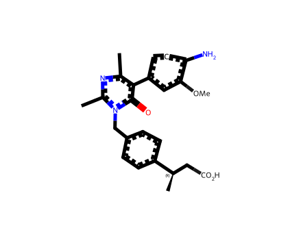 COc1cc(-c2c(C)nc(C)n(Cc3ccc([C@H](C)CC(=O)O)cc3)c2=O)ccc1N